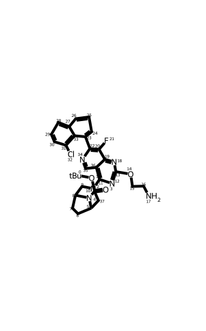 CC(C)(C)OC(=O)N1C2CCC1CN(c1nc(OCCN)nc3c(F)c(-c4cccc5cccc(Cl)c45)ncc13)C2